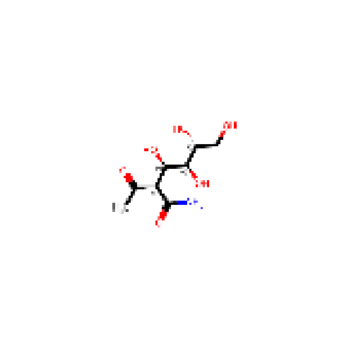 CC(=O)[C@H](C(N)=O)[C@@H](O)[C@H](O)[C@H](O)CO